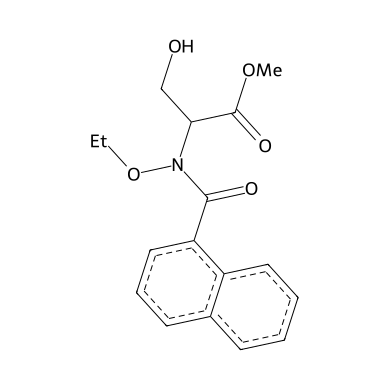 CCON(C(=O)c1cccc2ccccc12)C(CO)C(=O)OC